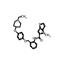 CCN1CCC(Oc2ccc(OCc3ccccc3NC(=O)c3cc4sccc4n3C)cc2)CC1